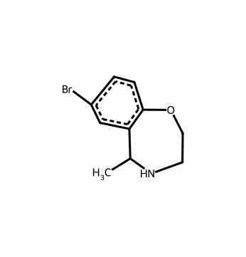 CC1NCCOc2ccc(Br)cc21